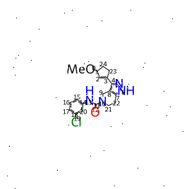 COC1C=C(c2n[nH]c3c2CN(C(=O)Nc2cccc(Cl)c2)CC3)CC1